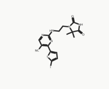 CC1(C)C(=O)NC(=O)N1CCNc1ncc(C#N)c(-c2ccc(I)s2)n1